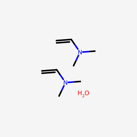 C=CN(C)C.C=CN(C)C.O